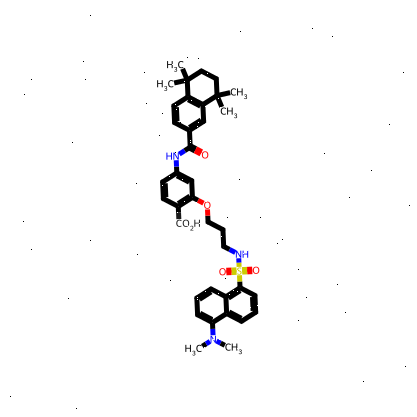 CN(C)c1cccc2c(S(=O)(=O)NCCCOc3cc(NC(=O)c4ccc5c(c4)C(C)(C)CCC5(C)C)ccc3C(=O)O)cccc12